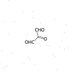 O=CC(=O)C=O